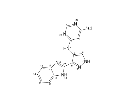 Clc1cc(Nc2c[nH]nc2-c2nc3ccccc3[nH]2)ncn1